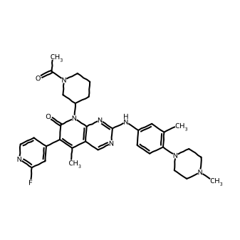 CC(=O)N1CCCC(n2c(=O)c(-c3ccnc(F)c3)c(C)c3cnc(Nc4ccc(N5CCN(C)CC5)c(C)c4)nc32)C1